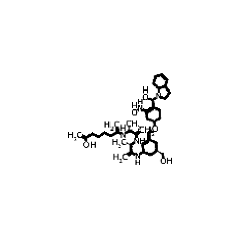 C=C(O)CCCCC(=C)N[C@@H](C)C(=C)N[C@@H](C)C(=C)NC1C=C(COC2CCC(C(O)N3CCC4C=CCCC43)=C(NO)C2)C[C@@H](CO)C1